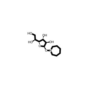 OC[C@H](O)[C@H]1O[C@H](ON2CCCCCC2)[C@H](O)[C@H]1O